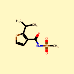 CC(C)c1sccc1C(=O)NS(C)(=O)=O